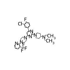 CCN(CC)C1CCN(c2nc(-c3ccc(F)c(Cl)c3)cc(N3CCN(c4ncccc4C(F)(F)F)CC3)n2)CC1